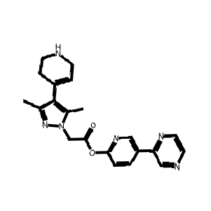 Cc1nn(CC(=O)Oc2ccc(-c3cnccn3)cn2)c(C)c1C1=CCNCC1